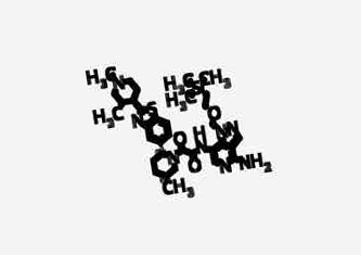 CC1CN(C)CCC1c1nc2cc([C@H]3CC[C@H](C)CN3C(=O)C(=O)Nc3cnc(N)c4cnn(COCC[Si](C)(C)C)c34)ccc2s1